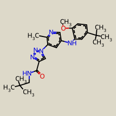 COc1ccc(C(C)(C)C)cc1Nc1cnc(C)c(-n2cc(C(=O)NCC(C)(C)C)nn2)c1